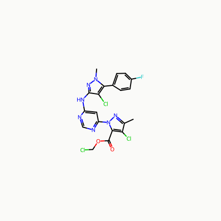 Cc1nn(-c2cc(Nc3nn(C)c(-c4ccc(F)cc4)c3Cl)ncn2)c(C(=O)OCCl)c1Cl